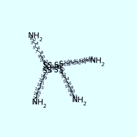 NCCCCCCCCCCCCSC1=C(SCCCCCCCCCCCCN)SC(=C2SC(SCCCCCCCCCCCCN)=C(SCCCCCCCCCCCCN)S2)S1